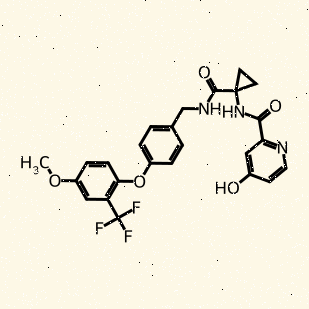 COc1ccc(Oc2ccc(CNC(=O)C3(NC(=O)c4cc(O)ccn4)CC3)cc2)c(C(F)(F)F)c1